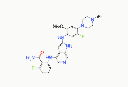 COc1cc(N2CCN(C(C)C)CC2)c(F)cc1Nc1cc2c(Nc3cccc(F)c3C(N)=O)cncc2[nH]1